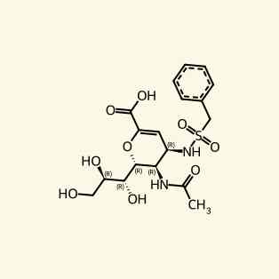 CC(=O)N[C@H]1[C@H]([C@H](O)[C@H](O)CO)OC(C(=O)O)=C[C@H]1NS(=O)(=O)Cc1ccccc1